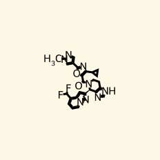 Cn1cc(-c2nc(C3CC3)c(C(=O)N3CCc4[nH]cnc4[C@H]3c3cc4c(C(F)F)cccn4n3)o2)cn1